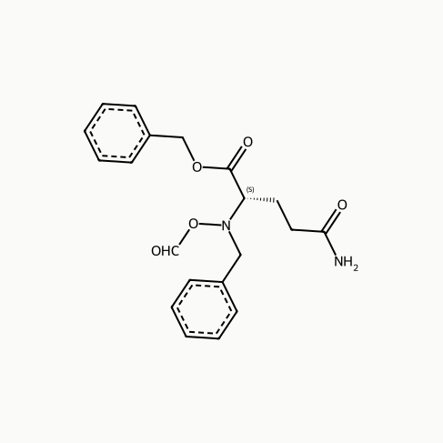 NC(=O)CC[C@@H](C(=O)OCc1ccccc1)N(Cc1ccccc1)OC=O